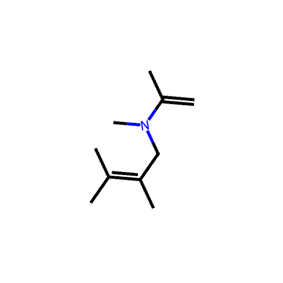 C=C(C)N(C)CC(C)=C(C)C